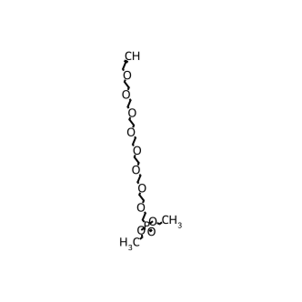 C#CCOCCOCCOCCOCCOCCOCCOCCOCCP(=O)(OCC)OCC